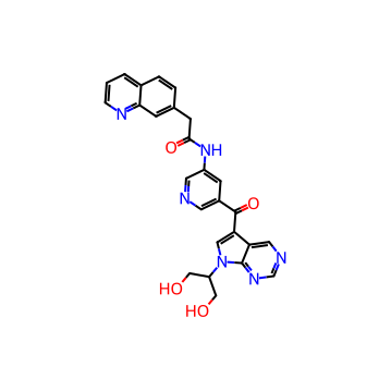 O=C(Cc1ccc2cccnc2c1)Nc1cncc(C(=O)c2cn(C(CO)CO)c3ncncc23)c1